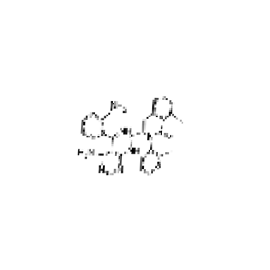 C=C1c2c(C)cccc2C=C(CNc2ncnc(N)c2C(=N)c2ccccc2CN)N1c1ccccc1C